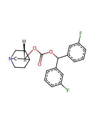 O=C(OC(c1cccc(F)c1)c1cccc(F)c1)O[C@H]1CN2CCC1CC2